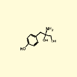 N[C@](O)(CO)Cc1ccc(O)cc1